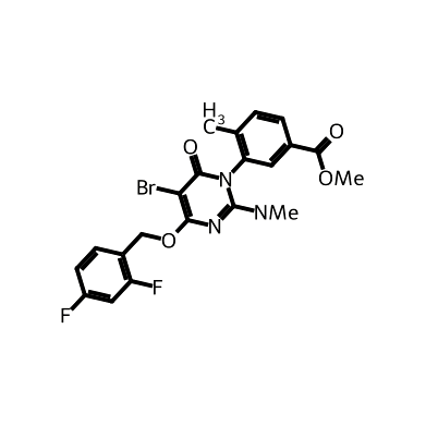 CNc1nc(OCc2ccc(F)cc2F)c(Br)c(=O)n1-c1cc(C(=O)OC)ccc1C